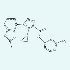 Cn1cc2c(-c3nsc(C(=O)Nc4ccnc(C(F)(F)F)c4)c3C3CC3)cccc2n1